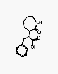 O=C1NCCCCC1N(Cc1ccccc1)C(=O)O